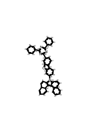 C1=CC2C=Cc3c(c4c5ccccc5ccc4n3-c3ccc4c(c3)oc3cc(-c5nc(-c6ccccc6)nc(-c6ccccc6)n5)ccc34)C2C=C1